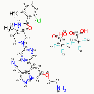 Cc1cccc(Cl)c1C(=O)NC1(C)CCN(c2cnc(-c3cc(OCCN)cn4ncc(C#N)c34)cn2)CC1.O=C(O)C(F)(F)F.O=C(O)C(F)(F)F